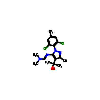 CN(C)C=Nc1c(C(O)(C(F)(F)F)C(F)(F)F)c(C#N)nn1-c1c(Cl)cc(C(F)(F)F)cc1Cl